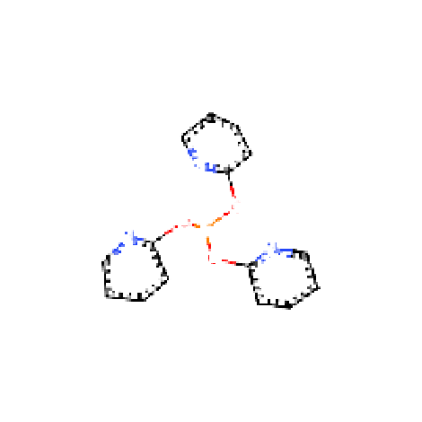 c1ccc(OP(Oc2ccccn2)Oc2ccccn2)nc1